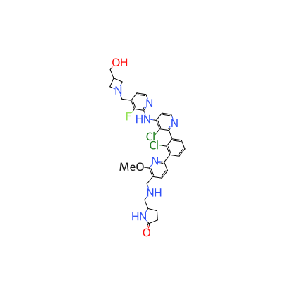 COc1nc(-c2cccc(-c3nccc(Nc4nccc(CN5CC(CO)C5)c4F)c3Cl)c2Cl)ccc1CNCC1CCC(=O)N1